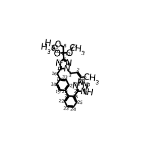 CC=CCn1nc(C(CC)(OC)OC)nc1Cc1ccc(-c2ccccc2-c2nnn[nH]2)cc1